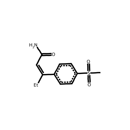 CC/C(=C/C(N)=O)c1ccc(S(C)(=O)=O)cc1